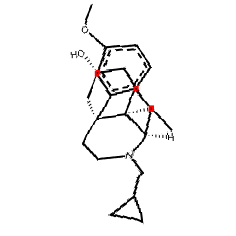 CC[C@@]12CC[C@@H](O)C[C@@]13CCN(CC1CC1)[C@@H]2Cc1ccc(OC)cc13